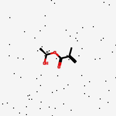 C=C(C)C(=O)O[C@H](C)O